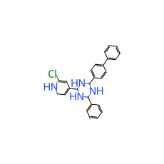 ClC1=CC(C2NC(c3ccccc3)NC(c3ccc(-c4ccccc4)cc3)N2)=CCN1